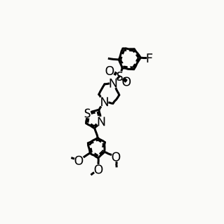 COc1cc(-c2csc(N3CCN(S(=O)(=O)c4cc(F)ccc4C)CC3)n2)cc(OC)c1OC